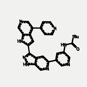 CC(C)(C)C(=O)Nc1cncc(-c2cc3c(-c4cc5c(-c6ccncc6)cncc5[nH]4)n[nH]c3cn2)c1